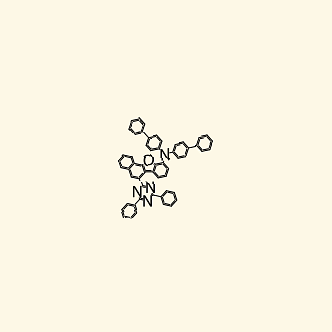 c1ccc(-c2ccc(N(c3ccc(-c4ccccc4)cc3)c3cccc4c3oc3c5ccccc5cc(-c5nc(-c6ccccc6)nc(-c6ccccc6)n5)c43)cc2)cc1